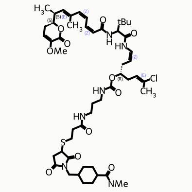 CNC(=O)C1CCC(CN2C(=O)CC(SCCC(=O)NCCCNC(=O)O[C@H](C/C=C\NC(=O)C(NC(=O)\C=C/C=C\C(C)=C\[C@H](C)[C@@H]3CC=C(OC)C(=O)O3)C(C)(C)C)C/C=C(\C)Cl)C2=O)CC1